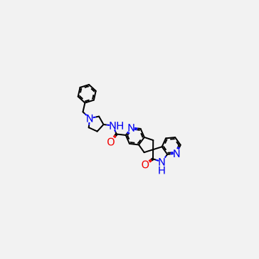 O=C(NC1CCN(Cc2ccccc2)C1)c1cc2c(cn1)CC1(C2)C(=O)Nc2ncccc21